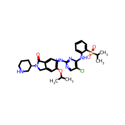 CC(C)Oc1cc2c(cc1Nc1ncc(Cl)c(Nc3ccccc3S(=O)(=O)C(C)C)n1)C(=O)N([C@@H]1CCCNC1)C2